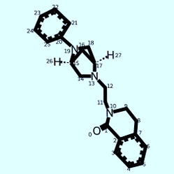 O=C1c2ccccc2CCN1CCN1C[C@@H]2C[C@H]1CN2c1ccccc1